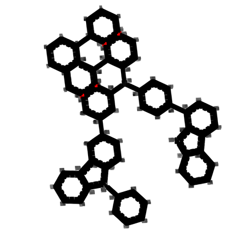 c1ccc(-c2cccc3cccc(-c4ccccc4N(c4ccc(-c5cccc6c5sc5ccccc56)cc4)c4cccc(-c5ccc6c(c5)c5ccccc5n6-c5ccccc5)c4)c23)cc1